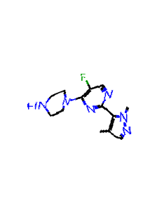 Cc1cnn(C)c1-c1ncc(F)c(N2CCNCC2)n1